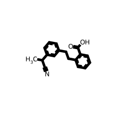 CC(C#N)c1cccc(CCc2ccccc2C(=O)O)c1